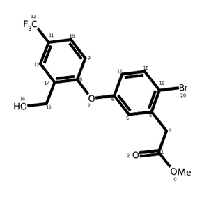 COC(=O)Cc1cc(Oc2ccc(C(F)(F)F)cc2CO)ccc1Br